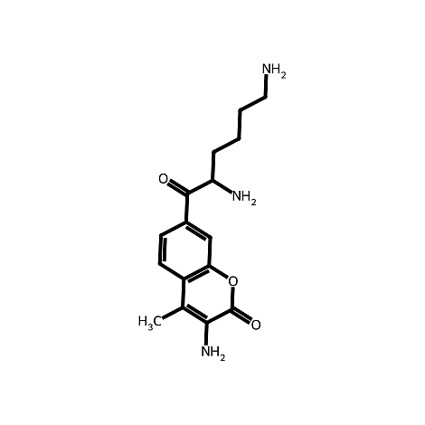 Cc1c(N)c(=O)oc2cc(C(=O)C(N)CCCCN)ccc12